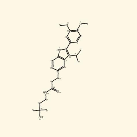 COc1ccc(-c2[nH]c3ccc(OCC(=O)NCCC(C)(C)O)cc3c2C(C)C)cc1OC